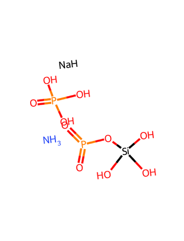 N.O=P(=O)O[Si](O)(O)O.O=P(O)(O)O.[NaH]